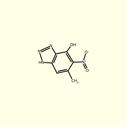 Cc1cc2[nH]nnc2c(O)c1[N+](=O)[O-]